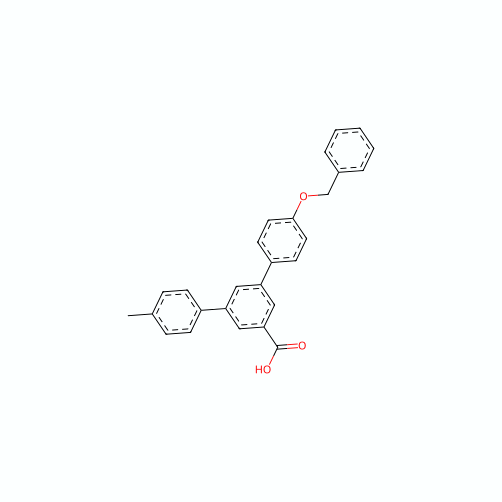 Cc1ccc(-c2cc(C(=O)O)cc(-c3ccc(OCc4ccccc4)cc3)c2)cc1